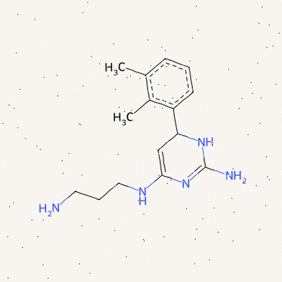 Cc1cccc(C2C=C(NCCCN)N=C(N)N2)c1C